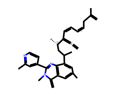 C=C=C(/C=C\C=C/CC(=C)C)[C@@H](C)CC(C)c1cc(C)cc2c1N=C(c1ccnc(C)c1)N(C)C2=C